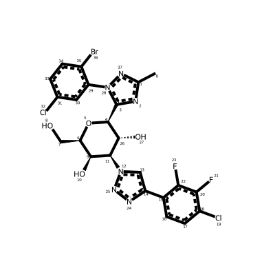 Cc1nc([C@@H]2O[C@H](CO)[C@H](O)[C@H](n3cc(-c4ccc(Cl)c(F)c4F)nn3)[C@H]2O)n(-c2cc(Cl)ccc2Br)n1